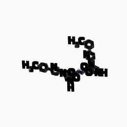 Cc1ccc(-c2ccc(N3CC4(OC(=O)/C=C/C(=O)OC56CNCC5N(c5ccc(-c7cccc(C)c7)nc5)C6)CNCC34)cn2)cc1